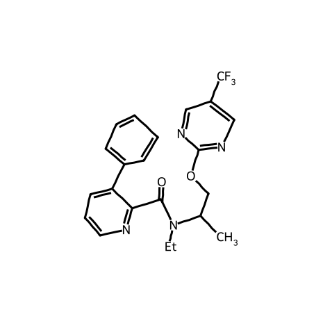 CCN(C(=O)c1ncccc1-c1ccccc1)C(C)COc1ncc(C(F)(F)F)cn1